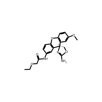 CCOCC(=O)Nc1ccc2c(c1)[C@@]1(COC(N)=N1)c1cc(OC)ccc1O2